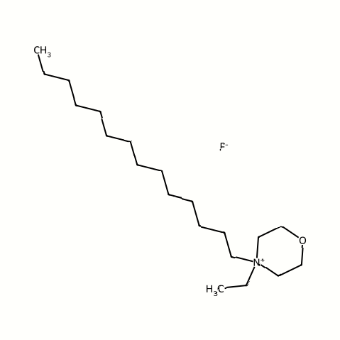 CCCCCCCCCCCCCC[N+]1(CC)CCOCC1.[F-]